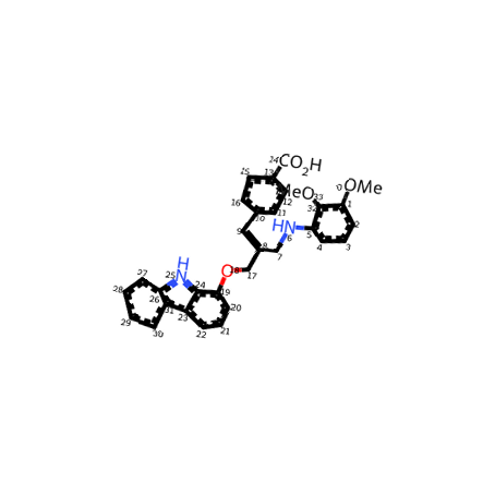 COc1cccc(NCC(=Cc2ccc(C(=O)O)cc2)COc2cccc3c2[nH]c2ccccc23)c1OC